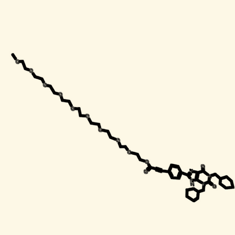 COCCOCCOCCOCCOCCOCCOCCOCCOCCOC(=O)C#Cc1ccc(-c2nc3c(=O)n(CC4CCCCC4)c(=O)n(CC4CCCCC4)c3[nH]2)cc1